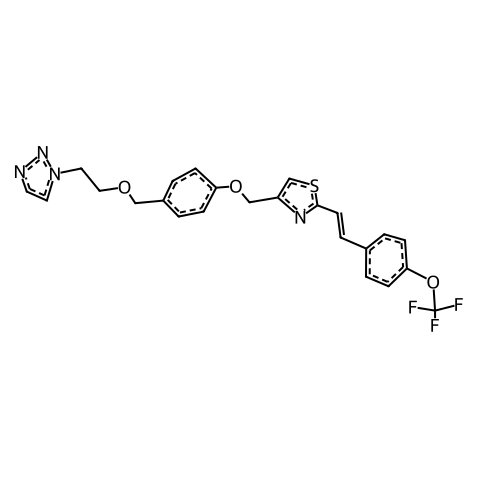 FC(F)(F)Oc1ccc(/C=C/c2nc(COc3ccc(COCCn4ccnn4)cc3)cs2)cc1